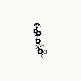 O=C(Nc1ccc(Oc2cccc3c2CCC3C2OCCO2)nc1)c1ccc(Cl)c(Cl)c1